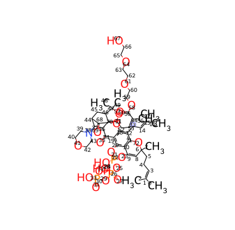 CC(C)=CCCC1(C)C=Cc2c(c(CC=C(C)C)c3c(c2OP(=O)(O)OP(=O)(O)OP(=O)(O)O)C(=O)C2C(N4CCOCC4)C4CC5C(C)(C)OC(C/C=C(/C)C(=O)OCCOCCOCCO)(C4=O)C25O3)O1